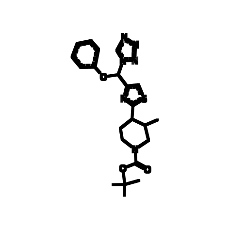 CC1CN(C(=O)OC(C)(C)C)CCC1c1nc(C(Oc2ccccc2)n2cnnn2)cs1